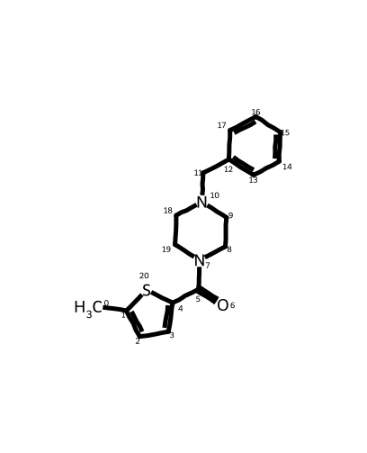 Cc1ccc(C(=O)N2CCN(Cc3ccccc3)CC2)s1